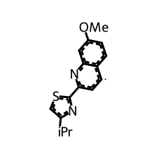 COc1ccc2[c]cc(-c3nc(C(C)C)cs3)nc2c1